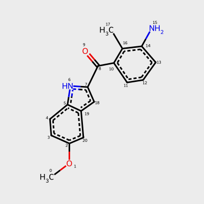 COc1ccc2[nH]c(C(=O)c3cccc(N)c3C)cc2c1